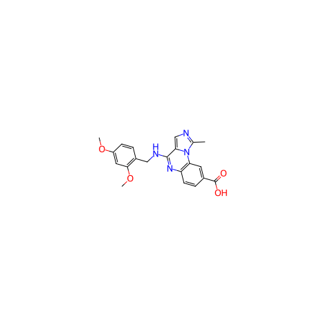 COc1ccc(CNc2nc3ccc(C(=O)O)cc3n3c(C)ncc23)c(OC)c1